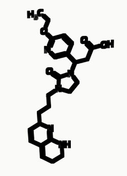 CCOc1ccc(C(CC(=O)O)N2CCN(CCCC3C=CC4=CCCNC4=N3)C2=O)cn1